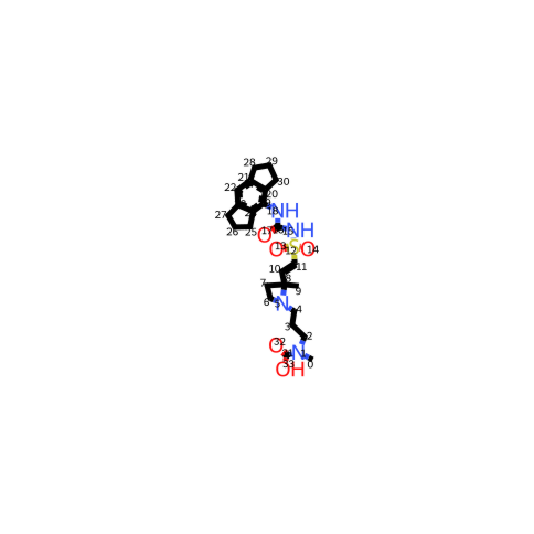 CN(CCCN1CCC1(C)C=CS(=O)(=O)NC(=O)Nc1c2c(cc3c1CCC3)CCC2)C(=O)O